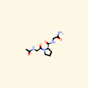 CC(=O)NCC(=O)N1CCC[C@@H]1C(=O)NCC(N)=O